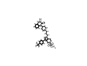 CS(=O)(=O)N1CCc2c(c(-c3ccc(C(F)(F)F)cc3)nn2CCCN2CCC(N3C(=O)NCc4ccccc43)CC2)C1